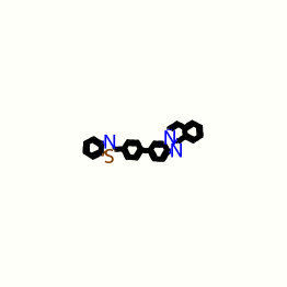 c1ccc2c(c1)ccn1c3cc(-c4ccc(-c5nc6ccccc6s5)cc4)ccc3nc21